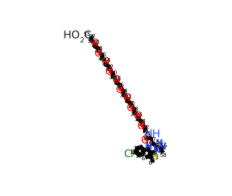 Cc1sc2c(c1C)C(c1ccc(Cl)cc1)=N[C@@H](CC(=O)NCCOCCOCCOCCOCCOCCOCCOCCOCCOCCOCCC(=O)O)c1nnc(C)n1-2